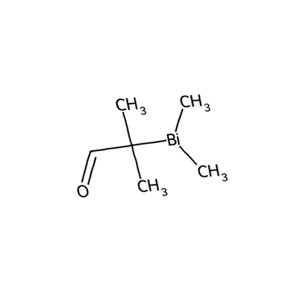 [CH3][Bi]([CH3])[C](C)(C)C=O